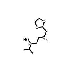 CC(C)[C@@H](O)CC[C@@H](C)CC1OCCO1